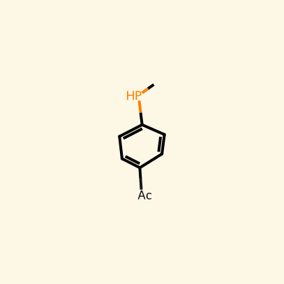 CPc1ccc(C(C)=O)cc1